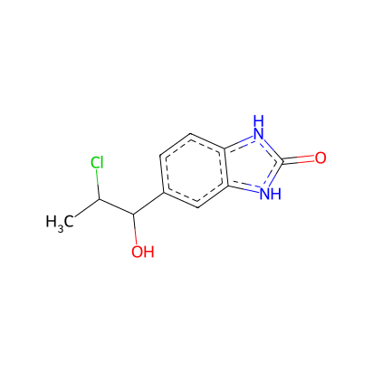 CC(Cl)C(O)c1ccc2[nH]c(=O)[nH]c2c1